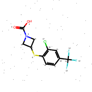 O=C(O)N1CC(Sc2ccc(C(F)(F)F)cc2Cl)C1